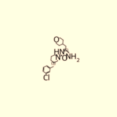 NC[C@H](CC1CCOCC1)NC(=O)N1CCC[C@@H](Cc2cccc(Cl)c2)C1